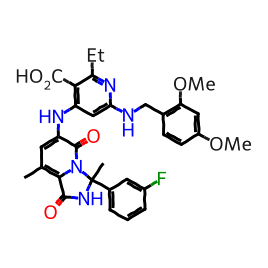 CCc1nc(NCc2ccc(OC)cc2OC)cc(Nc2cc(C)c3n(c2=O)C(C)(c2cccc(F)c2)NC3=O)c1C(=O)O